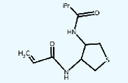 C=CC(=O)NC1CSCC1NC(=O)C(C)C